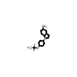 CC(F)(F)Oc1ccc(-n2ccc3cc(N)ccc32)cc1